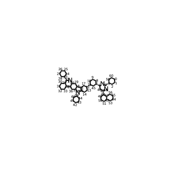 c1ccc(-c2nc(-c3cccc(-c4ccc5c(c4)c4cc6nc(-c7ccccc7)c7ccccc7c6cc4n5-c4ccccc4)c3)cc(-c3cccc4ccccc34)n2)cc1